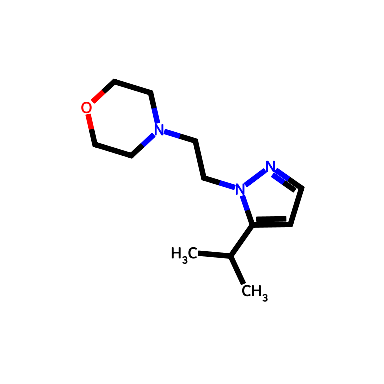 CC(C)c1ccnn1CCN1CCOCC1